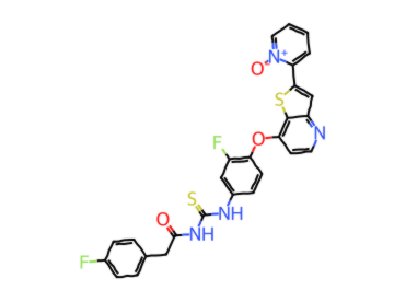 O=C(Cc1ccc(F)cc1)NC(=S)Nc1ccc(Oc2ccnc3cc(-c4cccc[n+]4[O-])sc23)c(F)c1